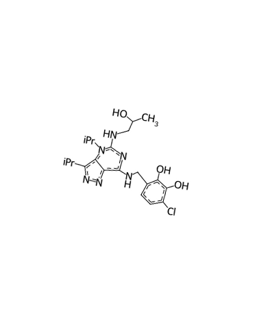 CC(O)CNc1nc(NCc2ccc(Cl)c(O)c2O)c2nnc(C(C)C)c-2n1C(C)C